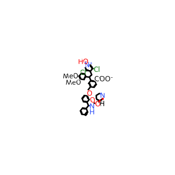 COc1ccc(C(Cc2c(Cl)c[n+](O)cc2Cl)c2cc(COc3cccc(C(NC(=O)O[C@H]4CN5CCC4CC5)c4ccccc4)c3)ccc2C(=O)[O-])cc1OC